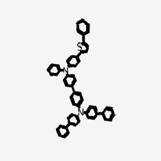 C1=CC(c2ccc(-c3ccc(N(c4ccccc4)c4ccc(-c5ccc(N(c6ccc(-c7ccccc7)cc6)c6ccc(-c7ccccc7)cc6)cc5)cc4)cc3)s2)=CCC1